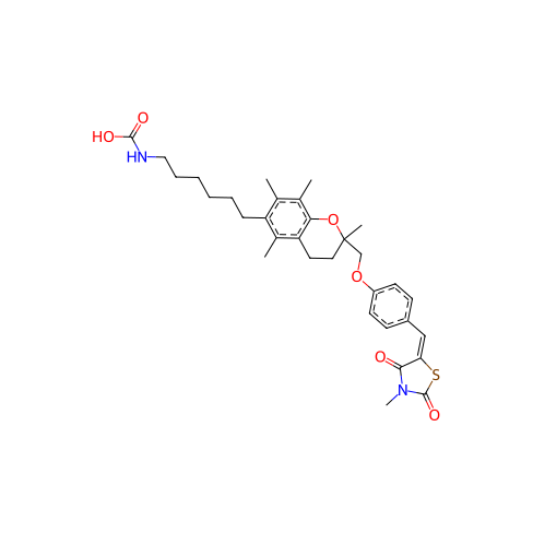 Cc1c(C)c2c(c(C)c1CCCCCCNC(=O)O)CCC(C)(COc1ccc(C=C3SC(=O)N(C)C3=O)cc1)O2